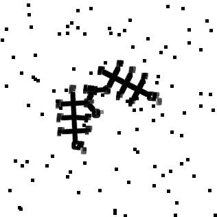 [O-][S+](NSC(F)(F)C(F)(F)C(F)(F)C(F)(F)F)C(F)(F)C(F)(F)C(F)(F)C(F)(F)F